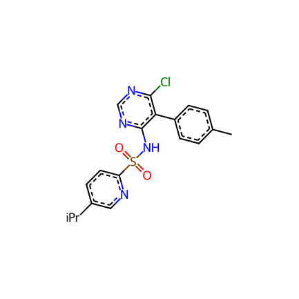 Cc1ccc(-c2c(Cl)ncnc2NS(=O)(=O)c2ccc(C(C)C)cn2)cc1